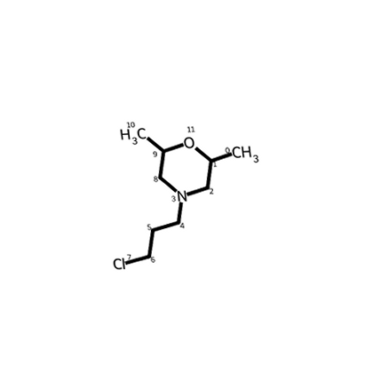 CC1CN(CCCCl)CC(C)O1